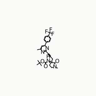 Cc1cc(-c2ccc(C(F)(F)F)cc2)nc(C#CC[C@]2(NC(=O)OC(C)(C)C)CCN(C)C2=O)n1